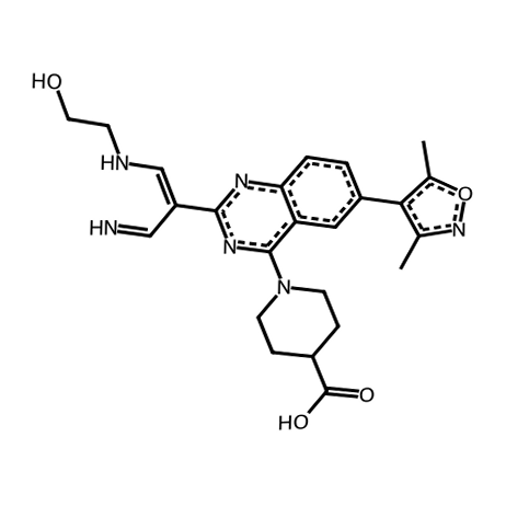 Cc1noc(C)c1-c1ccc2nc(/C(C=N)=C/NCCO)nc(N3CCC(C(=O)O)CC3)c2c1